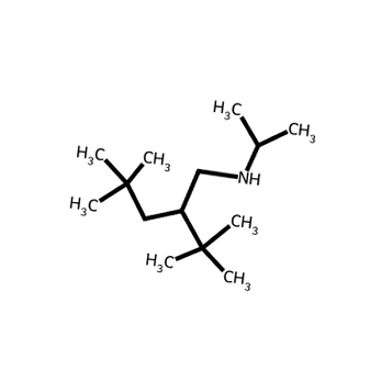 CC(C)NCC(CC(C)(C)C)C(C)(C)C